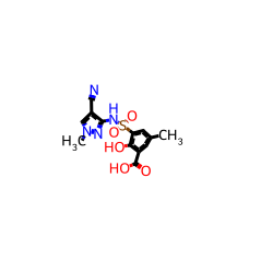 Cc1cc(C(=O)O)c(O)c(S(=O)(=O)Nc2nn(C)cc2C#N)c1